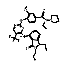 CCC1c2cccc(Nc3nc(Nc4ccc(C(=O)N(CC)N5CCCC5)cc4OC)ncc3C(F)(F)F)c2C(=O)N1CCF